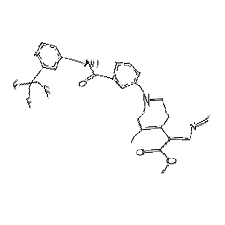 C=N/C=C(/C(=O)OC)C1=C(C)CN(c2cccc(C(=O)Nc3cccc(C(F)(F)F)c3)c2)CC1